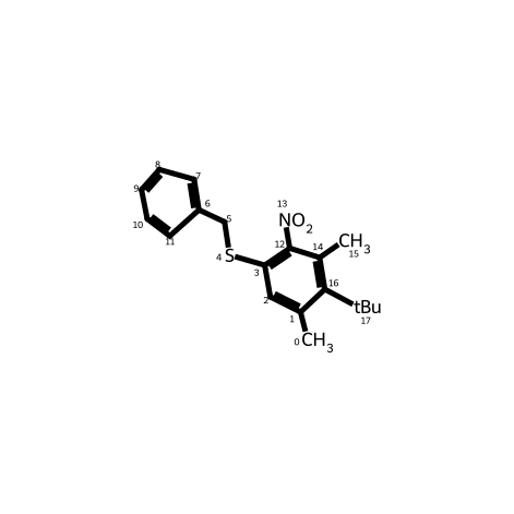 Cc1cc(SCc2ccccc2)c([N+](=O)[O-])c(C)c1C(C)(C)C